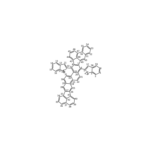 c1ccc2sc(-c3c4c(c(-c5cc6ccccc6s5)c5c3ccc3c6cc7c(cc6ccc35)-c3cccc5cccc-7c35)-c3cccc5c3c-4cc3ccccc35)cc2c1